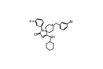 O=C1N=C(NC2CCCCC2)C2(CCN(Cc3cccc(Br)c3)CC2)N1c1cccc(F)c1